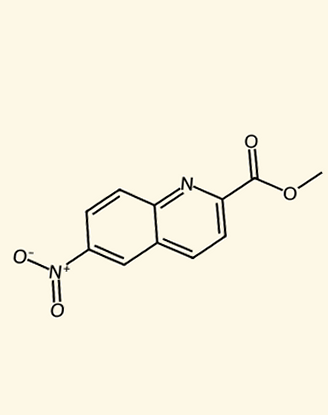 COC(=O)c1ccc2cc([N+](=O)[O-])ccc2n1